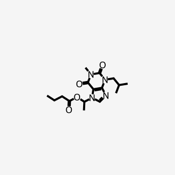 CCCC(=O)OC(C)n1cnc2c1c(=O)n(C)c(=O)n2CC(C)C